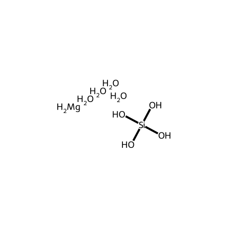 O.O.O.O.O[Si](O)(O)O.[MgH2]